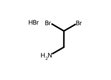 Br.NCC(Br)Br